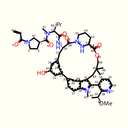 C=CC(=O)N1CC[C@H](C(=O)N(C)[C@H](C(=O)N[C@H]2Cc3cc(O)cc(c3)-c3ccc4c(c3)c(c(-c3cccnc3[C@H](C)OC)n4C)CC(C)(C)COC(=O)[C@@H]3CCCN(N3)C2=O)C(C)C)C1